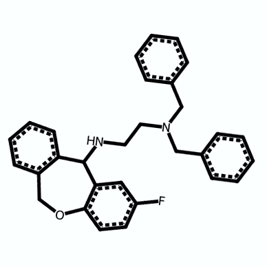 Fc1ccc2c(c1)C(NCCN(Cc1ccccc1)Cc1ccccc1)c1ccccc1CO2